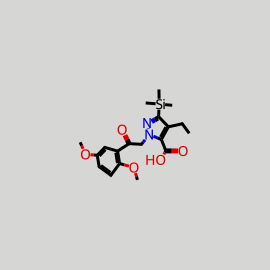 CCc1c([Si](C)(C)C)nn(CC(=O)c2cc(OC)ccc2OC)c1C(=O)O